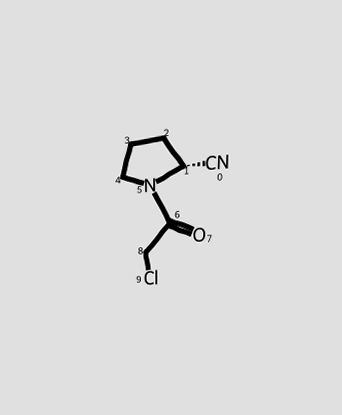 N#C[C@H]1CCCN1C(=O)CCl